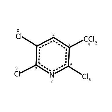 Clc1cc(C(Cl)(Cl)Cl)c(Cl)nc1Cl